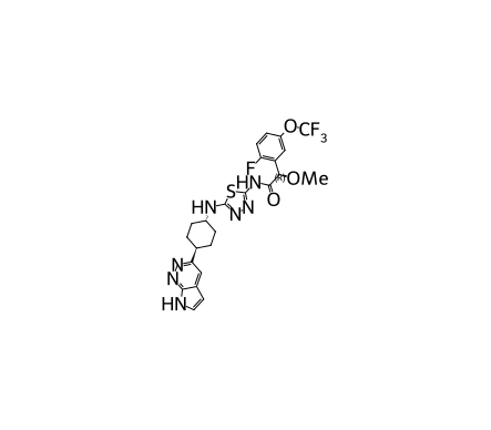 CO[C@@H](C(=O)Nc1nnc(N[C@H]2CC[C@H](c3cc4cc[nH]c4nn3)CC2)s1)c1cc(OC(F)(F)F)ccc1F